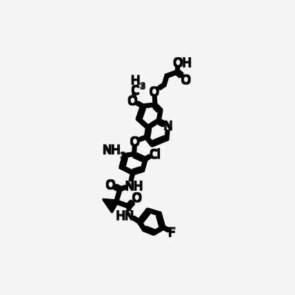 COc1cc2c(Oc3ccc(NC(=O)C4(C(=O)Nc5ccc(F)cc5)CC4)cc3Cl)ccnc2cc1OCCC(=O)O.N